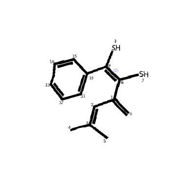 C=C(C=C(C)C)/C(S)=C(/S)c1ccccc1